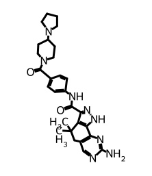 CC1(C)Cc2cnc(N)nc2-c2[nH]nc(C(=O)Nc3ccc(C(=O)N4CCC(N5CCCC5)CC4)cc3)c21